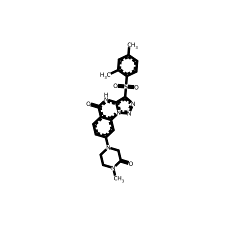 Cc1ccc(S(=O)(=O)c2nnn3c2[nH]c(=O)c2ccc(N4CCN(C)C(=O)C4)cc23)c(C)c1